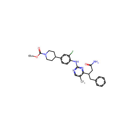 CC(C)(C)OC(=O)N1CCC(c2ccc(Nc3ncc(C(F)(F)F)c(C(CC(N)=O)Cc4ccccc4)n3)c(F)c2)CC1